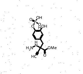 C#CC(Cc1ccc(OP(=O)(O)O)c(O)c1)(NN)C(=O)OC